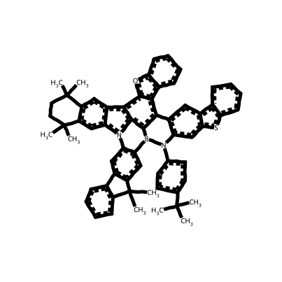 CC(C)(C)c1ccc(N2B3c4cc5c(cc4-n4c6cc7c(cc6c6c8oc9ccccc9c8c(c3c64)-c3cc4c(cc32)sc2ccccc24)C(C)(C)CCC7(C)C)-c2ccccc2C5(C)C)cc1